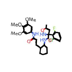 COc1cc(NC(=O)CCC2CCCCC2NC(=O)C2(c3c(F)cccc3Cl)C=C(C)ON2)cc(OC)c1OC